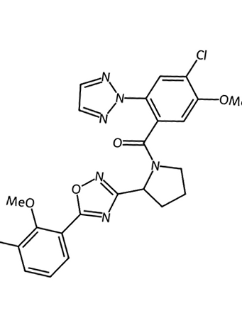 COc1cc(C(=O)N2CCCC2c2noc(-c3cccc(F)c3OC)n2)c(-n2nccn2)cc1Cl